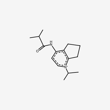 CC(C)C(=O)Nc1cc[n+](C(C)C)c2c1CCC2